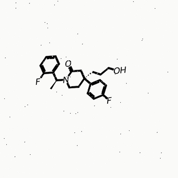 C[C@@H](c1ccccc1F)N1CC[C@](CCCO)(c2ccc(F)cc2)CC1=O